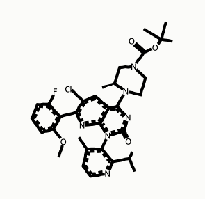 COc1cccc(F)c1-c1nc2c(cc1Cl)c(N1CCN(C(=O)OC(C)(C)C)C[C@@H]1C)nc(=O)n2-c1c(C)ccnc1C(C)C